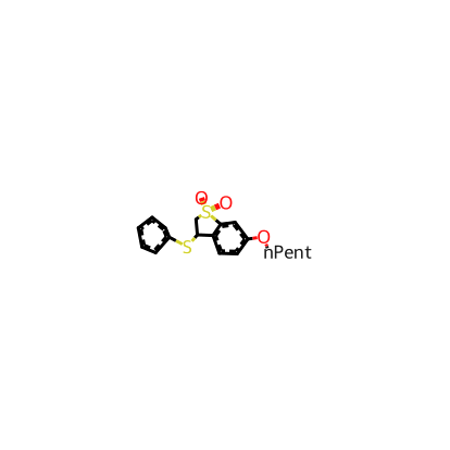 CCCCCOc1ccc2c(c1)S(=O)(=O)CC2Sc1ccccc1